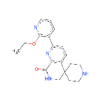 CCOc1ncccc1-c1ccc2c(n1)C(=O)NCC21CCNCC1